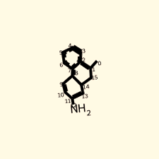 CC1=c2c#cccc2=C2C=CC(N)=CC2C1